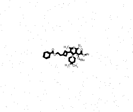 Cc1nc(C)c([C@H](OC(C)(C)C)C(=O)OC(C)C)c(N2CCC(C)(C)CC2)c1C1=CC(CCOC(=O)c2ccccc2)C1